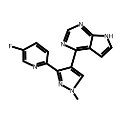 Cn1cc(-c2ncnc3[nH]ccc23)c(-c2ccc(F)cn2)n1